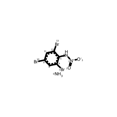 N.O=[N+]([O-])Nc1c(Br)cc(Br)cc1Br